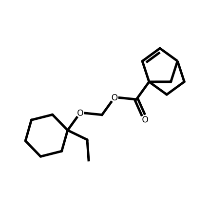 CCC1(OCOC(=O)C23C=CC(CC2)C3)CCCCC1